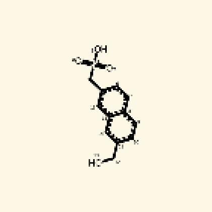 O=S(=O)(O)Cc1ccc2ccc(CO)cc2c1